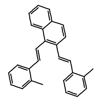 Cc1ccccc1/C=C/c1ccc2ccccc2c1/C=C/c1ccccc1C